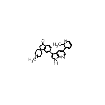 Cc1ncccc1-c1cnc2[nH]cc(-c3ccc4c(c3)C3(CCN(C)CC3)CC4=O)c2c1